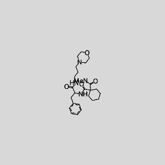 CNC(=O)C1(C(=O)NC(Cc2ccccc2)C(=O)NCCCN2CCOCC2)CCCCC1